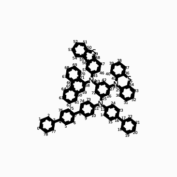 c1ccc(-c2ccc(-c3ccc(N(c4ccc(-c5ccccc5)cc4)c4cc(N5c6ccccc6Sc6ccccc65)cc(N(c5ccc6sc7ccccc7c6c5)c5cc6ccccc6c6ccccc56)c4)cc3)cc2)cc1